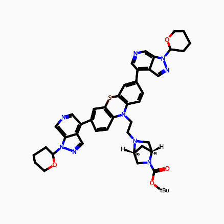 CC(C)(C)OC(=O)N1C[C@H]2C[C@@H]1CN2CCN1c2ccc(-c3cncc4c3cnn4C3CCCCO3)cc2Sc2cc(-c3cncc4c3cnn4C3CCCCO3)ccc21